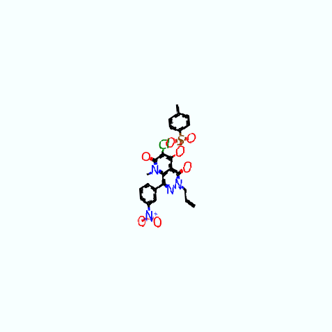 C=CCn1nc(-c2cccc([N+](=O)[O-])c2)c2c(c(OS(=O)(=O)c3ccc(C)cc3)c(Cl)c(=O)n2C)c1=O